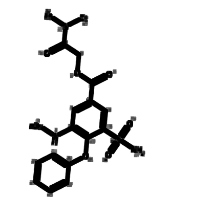 CCCCNc1cc(C(=O)OCC(=O)N(CC)CC)cc(S(N)(=O)=O)c1Oc1ccccc1